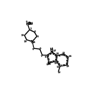 CCCCC1CCN(CCCc2nc3c(C)cccc3[nH]2)CC1